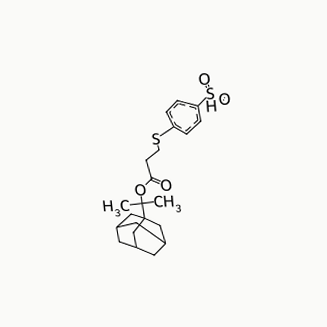 CC(C)(OC(=O)CCSc1ccc([SH](=O)=O)cc1)C12CC3CC(CC(C3)C1)C2